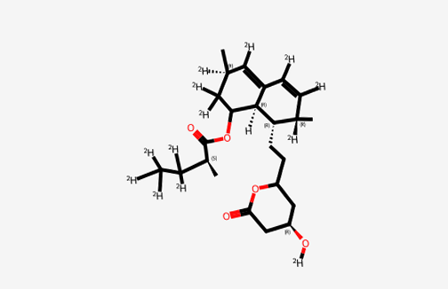 [2H]O[C@H]1CC(=O)OC(CC[C@@H]2[C@@H]3C(=C([2H])[C@]([2H])(C)C([2H])([2H])C3OC(=O)[C@@H](C)C([2H])([2H])C([2H])([2H])[2H])C([2H])=C([2H])[C@]2([2H])C)C1